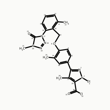 CCn1nc(-c2ccc(OCc3c(C)cccc3-n3nnn(C)c3=O)c(C)c2)c(C)c1C(=O)Cl